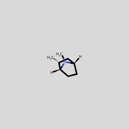 C[C@@H]1C[C@@H]2CC[C@H]1N2C